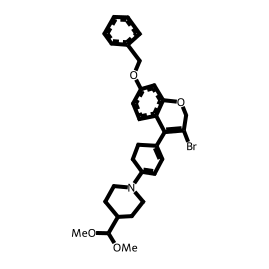 COC(OC)C1CCN(C2=CC=C(C3=C(Br)COc4cc(OCc5ccccc5)ccc43)CC2)CC1